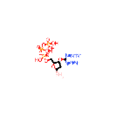 BC1C[C@@H](OC(N=[N+]=[N-])N=[N+]=[N-])C(COP(=O)(O)OP(=O)(O)OP(=O)(O)O)O1